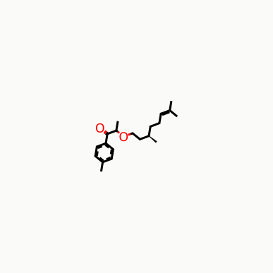 CC(C)=CCC[C@@H](C)CCOC(C)C(=O)c1ccc(C)cc1